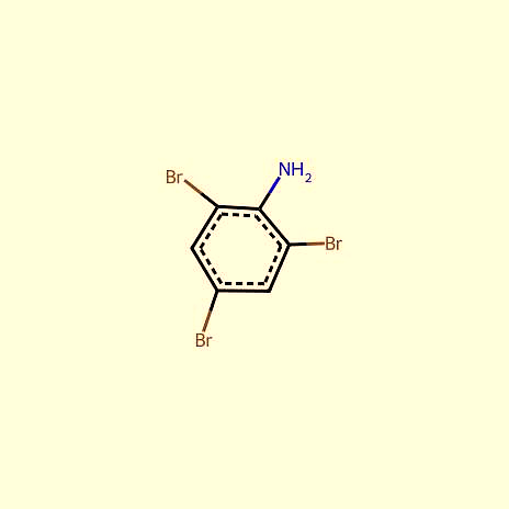 Nc1c(Br)cc(Br)cc1Br